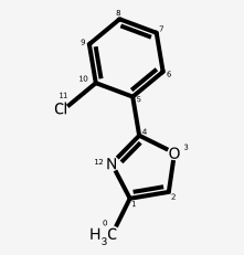 Cc1coc(-c2ccccc2Cl)n1